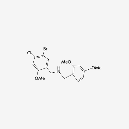 COc1ccc(CNCc2cc(Br)c(Cl)cc2OC)c(OC)c1